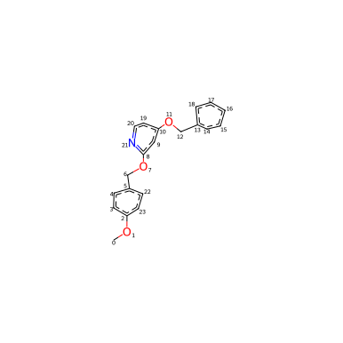 COc1ccc(COc2cc(OCc3ccccc3)ccn2)cc1